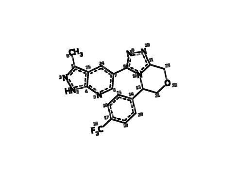 Cc1n[nH]c2ncc(-c3nnc4n3C(c3ccc(C(F)(F)F)cc3)COC4)cc12